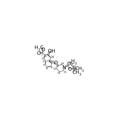 COC(=O)c1cc2cccc(O[C@@H]3CCCN(C(=O)OC(C)(C)C)C3)c2cc1O